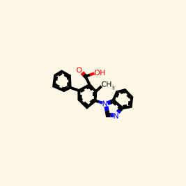 Cc1c(-n2cnc3ccccc32)ccc(-c2ccccc2)c1C(=O)O